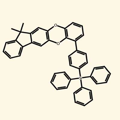 CC1(C)c2ccccc2-c2cc3c(cc21)Oc1cccc(-c2ccc([Si](c4ccccc4)(c4ccccc4)c4ccccc4)cc2)c1O3